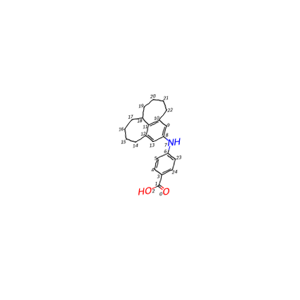 O=C(O)c1ccc(Nc2cc3c4c(c2)CCCCC4CCCC3)cc1